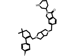 CC1(C)CCC(CN2CC3CN(Cc4ccc5c(c4)CN(C4CCCNC4)C5=O)CC3C2)=C(c2ccc(F)cc2)C1